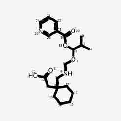 CC(C)C(OCNCC1(CC(=O)O)CCCCC1)OC(=O)c1cccnc1